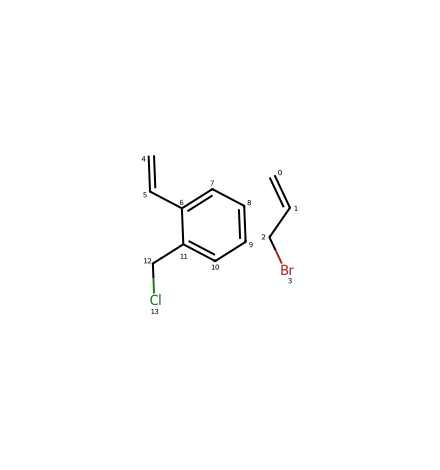 C=CCBr.C=Cc1ccccc1CCl